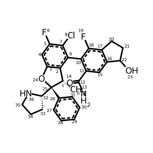 C[C@H]1c2c(cc(F)c(Cl)c2-c2c(C(N)=O)cc3c(c2F)CCC3O)O[C@@]1(c1ccccc1)[C@@H]1CCCN1